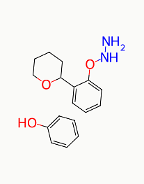 NNOc1ccccc1C1CCCCO1.Oc1ccccc1